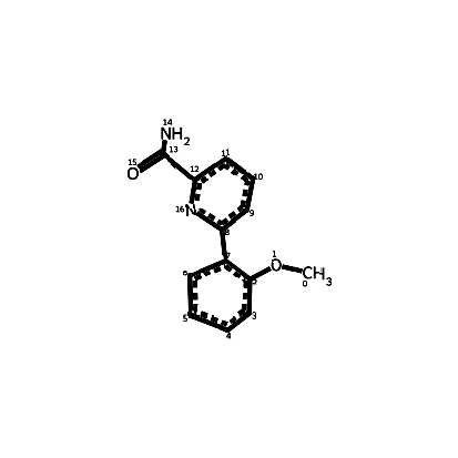 COc1ccccc1-c1cccc(C(N)=O)n1